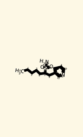 CCCCCC(Cc1cccnc1)S(N)(=O)=O